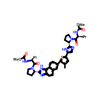 COC(=O)N[C@H](C(=O)N1CCC[C@H]1c1ncc(-c2cc(C)c(-c3ccc4c(ccc5nc([C@@H]6CCCN6C(=O)[C@@H](NC(=O)OC)C(C)C)[nH]c54)c3)s2)[nH]1)C(C)C